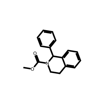 COC(=O)N1CCc2ccccc2C1c1ccccc1